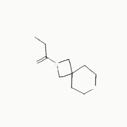 O=C(CCl)N1CC2(CCOCC2)C1